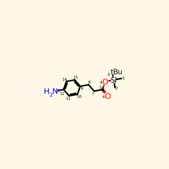 CC(C)(C)[Si](C)(C)OC(=O)CCc1ccc(N)cc1